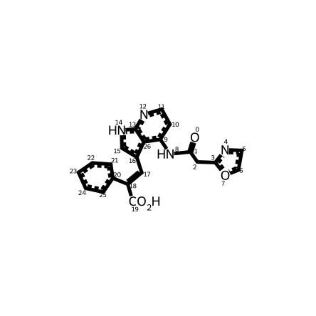 O=C(Cc1ncco1)Nc1ccnc2[nH]cc(C=C(C(=O)O)c3ccccc3)c12